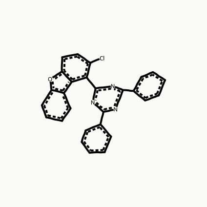 Clc1ccc2oc3ccccc3c2c1-c1nc(-c2ccccc2)nc(-c2ccccc2)n1